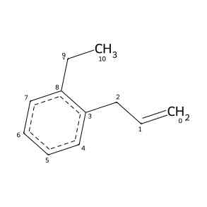 C=CCc1ccccc1[CH]C